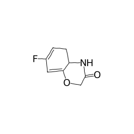 O=C1COC2=CC(F)=CCC2N1